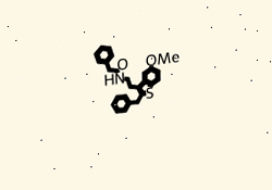 COc1ccc2sc(Cc3ccccc3)c(CCNC(=O)Cc3ccccc3)c2c1